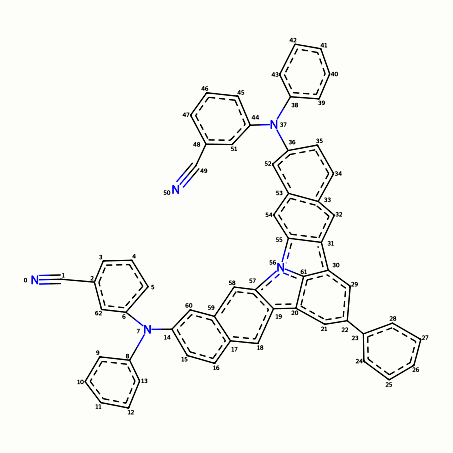 N#Cc1cccc(N(c2ccccc2)c2ccc3cc4c5cc(-c6ccccc6)cc6c7cc8ccc(N(c9ccccc9)c9cccc(C#N)c9)cc8cc7n(c4cc3c2)c56)c1